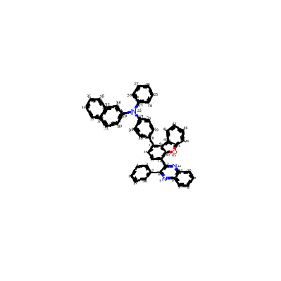 c1ccc(-c2nc3ccccc3nc2-c2ccc(-c3ccc(N(c4ccccc4)c4ccc5ccccc5c4)cc3)c3c2oc2ccccc23)cc1